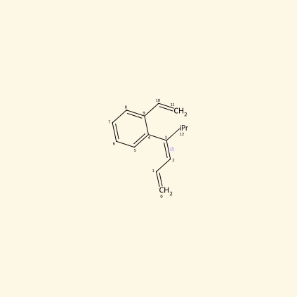 C=C/C=C(\c1ccccc1C=C)C(C)C